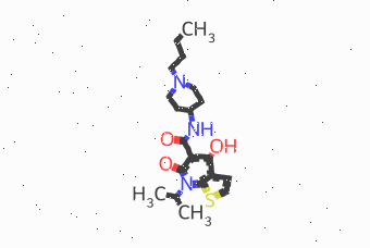 CCCCN1CCC(NC(=O)c2c(O)c3ccsc3n(C(C)C)c2=O)CC1